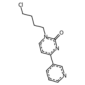 O=c1nc(-c2cccnc2)ccn1CCCCCl